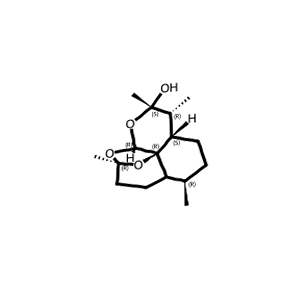 C[C@@H]1CC[C@H]2[C@@H](C)[C@@](C)(O)O[C@@H]3O[C@]4(C)CCC1[C@]32O4